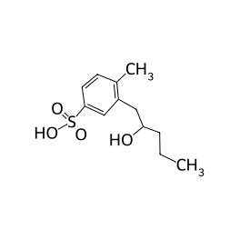 CCCC(O)Cc1cc(S(=O)(=O)O)ccc1C